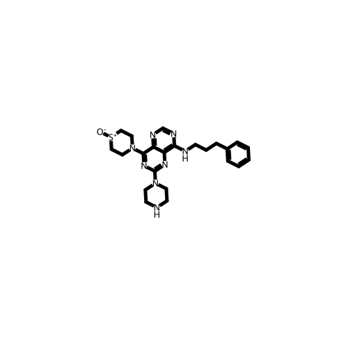 [O-][S+]1CCN(c2nc(N3CCNCC3)nc3c(NCCCc4ccccc4)ncnc23)CC1